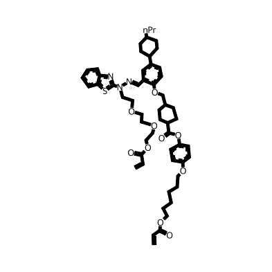 C=CC(=O)OCCCCCCOc1ccc(OC(=O)C2CCC(COc3ccc(C4CCC(CCC)CC4)cc3/C=N/N(CCOCCOCCOC(=O)C=C)c3nc4ccccc4s3)CC2)cc1